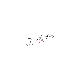 c1ccc(-c2ccccc2N(c2ccc(-c3cccc(-n4c5ccccc5c5ccccc54)c3)cc2)c2ccccc2-c2ccc3oc4c5ccccc5ccc4c3c2)cc1